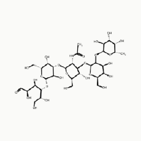 CC(=O)N[C@@H]1C(O[C@@H]2O[C@H](CO)[C@H](O)[C@H](O)C2O[C@@H]2O[C@@H](C)[C@@H](O)[C@@H](O)[C@@H]2O)[C@H](O)[C@@H](CO)O[C@H]1O[C@H]1[C@@H](O)[C@@H](CO)O[C@@H](O[C@@H]([C@H](O)[C@@H](O)C=O)[C@H](O)CO)[C@@H]1O